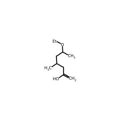 C=C(O)CC(C)CC(C)OCC